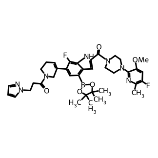 COc1cc(F)c(C)nc1N1CCN(C(=O)c2cc3c(B4OC(C)(C)C(C)(C)O4)cc(C4=CCCN(C(=O)CCn5cccn5)C4)c(F)c3[nH]2)CC1